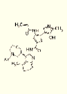 C=CC(=O)Nc1cc(C(=O)Nc2nc3cccc(C)c3n2[C@@H]2CCCCN(C(C)=O)C2)sc1-c1cnn(C)c1O